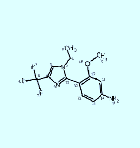 CCn1cc(C(F)(F)F)nc1-c1ccc(N)cc1OC